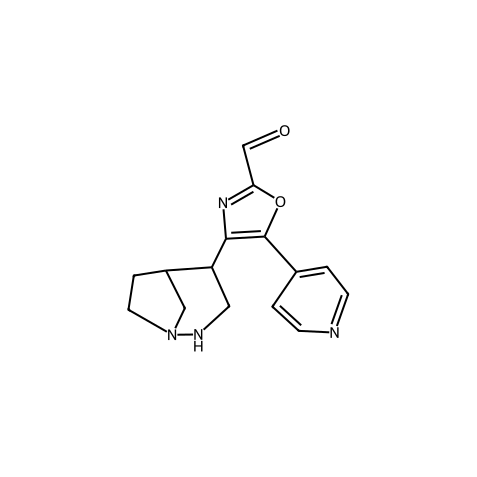 O=Cc1nc(C2CNN3CCC2C3)c(-c2ccncc2)o1